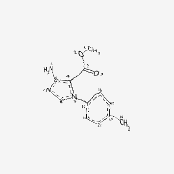 COC(=O)c1c(N)ncn1-c1ccc(C)cc1